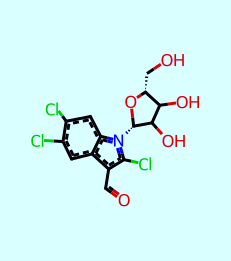 O=Cc1c(Cl)n([C@@H]2O[C@H](CO)C(O)C2O)c2cc(Cl)c(Cl)cc12